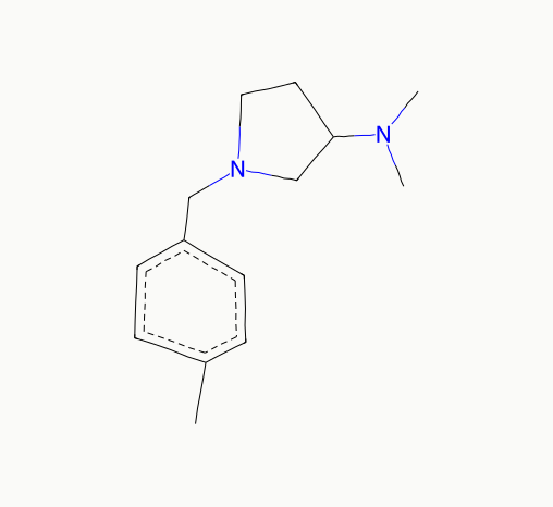 Cc1ccc(CN2CCC(N(C)C)C2)cc1